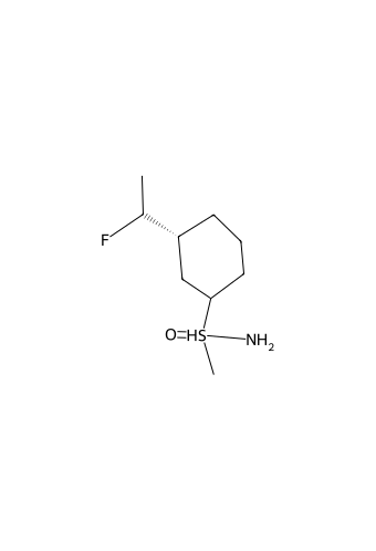 CC(F)[C@@H]1CCCC([SH](C)(N)=O)C1